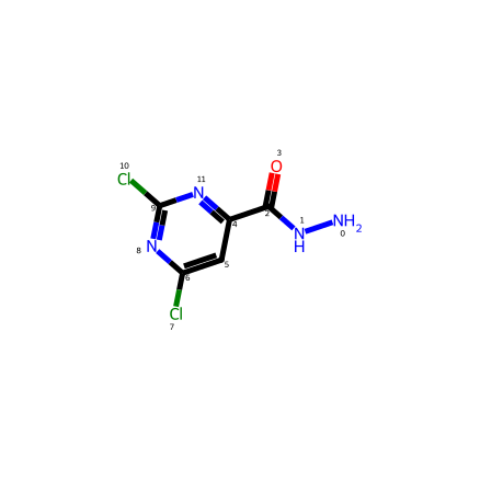 NNC(=O)c1cc(Cl)nc(Cl)n1